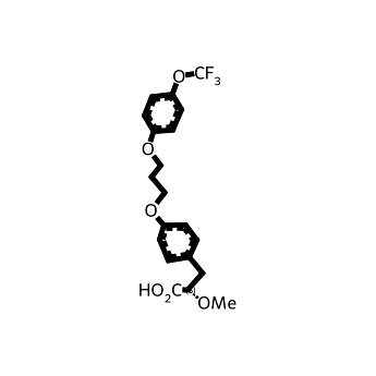 CO[C@@H](Cc1ccc(OCCCOc2ccc(OC(F)(F)F)cc2)cc1)C(=O)O